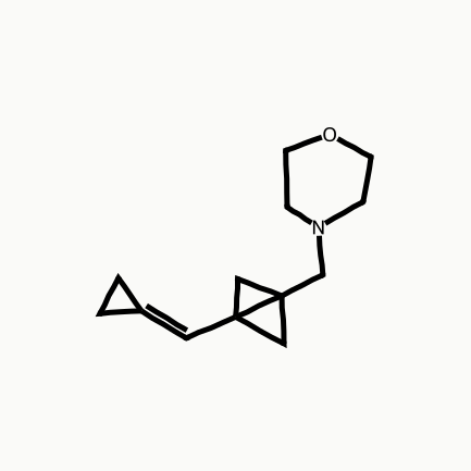 C(=C1CC1)C12CC1(CN1CCOCC1)C2